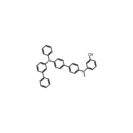 CN(c1ccc(-c2ccc(N(c3ccccc3)c3cccc(-c4ccccc4)c3)cc2)cc1)c1cccc(C#N)c1